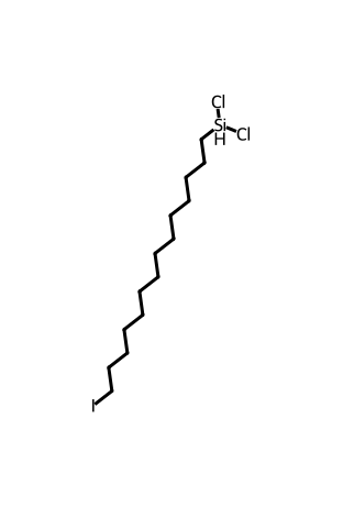 Cl[SiH](Cl)CCCCCCCCCCCCCCI